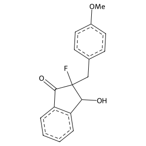 COc1ccc(CC2(F)C(=O)c3ccccc3C2O)cc1